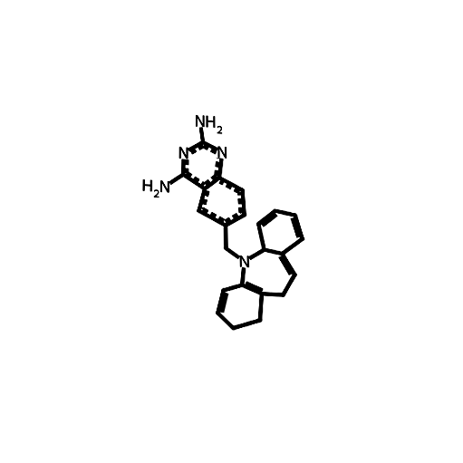 Nc1nc(N)c2cc(CN3C4=C(CC=C5C=CC=CC53)CCC=C4)ccc2n1